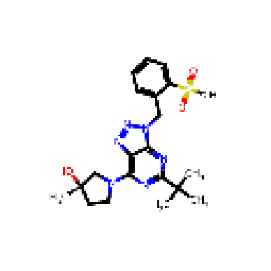 CC(C)(C)c1nc(N2CC[C@](C)(O)C2)c2nnn(Cc3ccccc3S(C)(=O)=O)c2n1